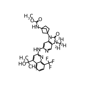 [2H]C([2H])([2H])n1c(=O)n(C23CCC(NC(=O)OC)(C2)C3)c2cc(Nc3cc(C(C)(C)O)c4cccc(C(F)(F)F)c4n3)ncc21